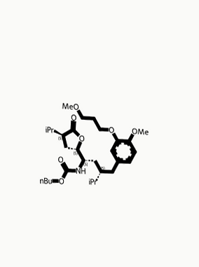 CCCCOC(=O)N[C@@H](C[C@H](Cc1ccc(OC)c(OCCCOC)c1)C(C)C)[C@@H]1C[C@@H](C(C)C)C(=O)O1